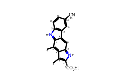 CCOC(=O)C1=C(C)c2c(C)c3c(cc2=N1)-c1cc(C#N)ccc1N=3